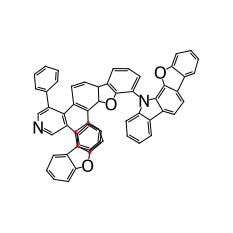 C1=CC2c3cccc(-n4c5ccccc5c5ccc6c7ccccc7oc6c54)c3OC2C(c2ccc3oc4ccccc4c3c2)=C1c1c(-c2ccccc2)cncc1-c1ccccc1